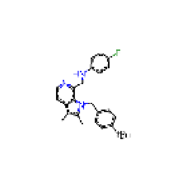 Cc1c(C)n(Cc2ccc(C(C)(C)C)cc2)c2c(CNc3ccc(F)cc3)nccc12